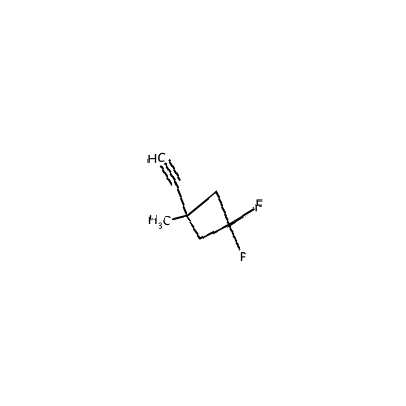 C#CC1(C)CC(F)(F)C1